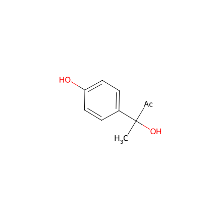 CC(=O)C(C)(O)c1ccc(O)cc1